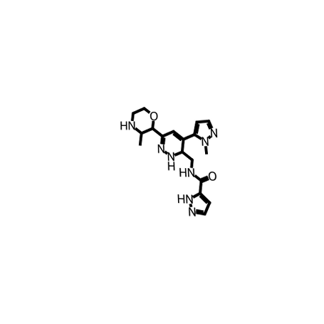 CC1NCCOC1C1=NNC(CNC(=O)c2ccn[nH]2)C(c2ccnn2C)=C1